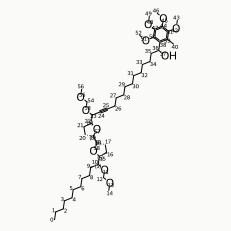 CCCCCCCCCC[C@H](OCOC)[C@@H]1CC[C@@H]([C@@H]2CC[C@@H](C(C#CCCCCCCCCCCC(O)c3c(C)c(OC)c(OC)c(OC)c3OC)OCOC)O2)O1